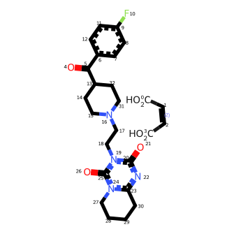 O=C(O)/C=C\C(=O)O.O=C(c1ccc(F)cc1)C1CCN(CCn2c(=O)nc3n(c2=O)CCCC3)CC1